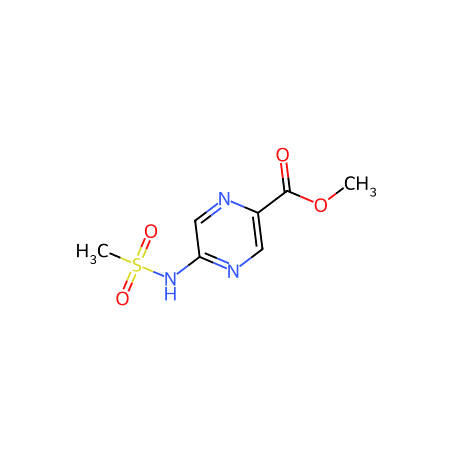 COC(=O)c1cnc(NS(C)(=O)=O)cn1